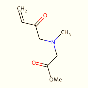 C=CC(=O)CN(C)CC(=O)OC